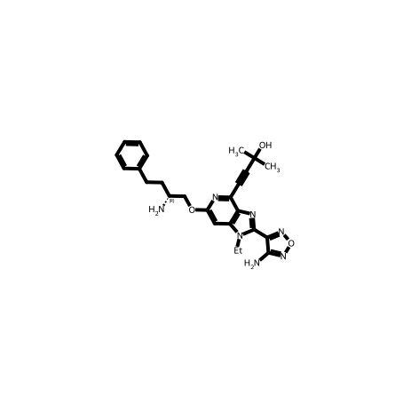 CCn1c(-c2nonc2N)nc2c(C#CC(C)(C)O)nc(OC[C@H](N)CCc3ccccc3)cc21